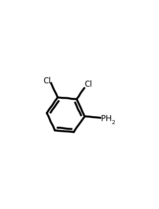 Pc1cccc(Cl)c1Cl